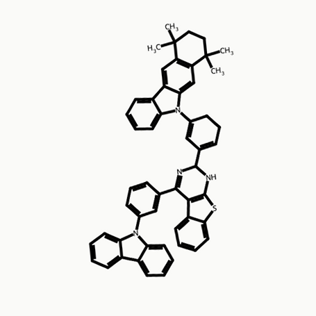 CC1(C)CCC(C)(C)c2cc3c(cc21)c1ccccc1n3C1=CC(C2N=C(c3cccc(-n4c5ccccc5c5ccccc54)c3)c3c(sc4ccccc34)N2)=CCC1